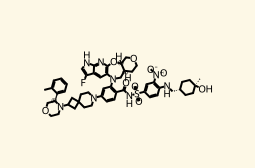 Cc1ccccc1[C@@H]1COCCN1C1CC2(CCN(c3ccc(C(=O)NS(=O)(=O)c4ccc(NC[C@H]5CC[C@](C)(O)CC5)c([N+](=O)[O-])c4)c(N4C[C@@H]5CCOC[C@H]5Oc5nc6[nH]cc(F)c6cc54)c3)CC2)C1